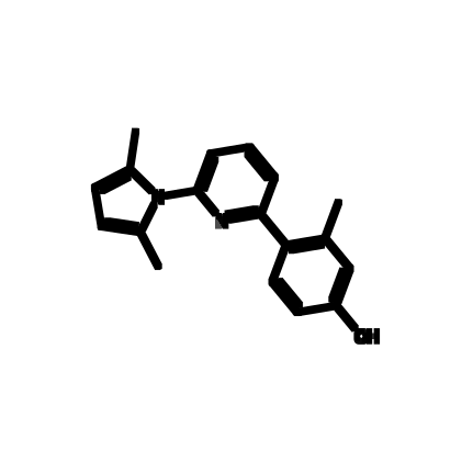 Cc1cc(O)ccc1-c1cccc(-n2c(C)ccc2C)n1